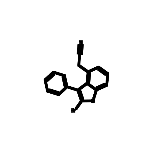 N#CCc1cccc2oc(Br)c(-c3ccccc3)c12